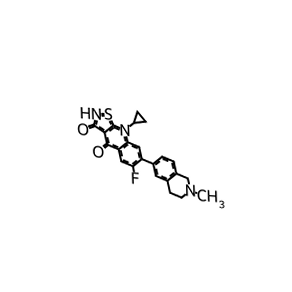 CN1CCc2cc(-c3cc4c(cc3F)c(=O)c3c(=O)[nH]sc3n4C3CC3)ccc2C1